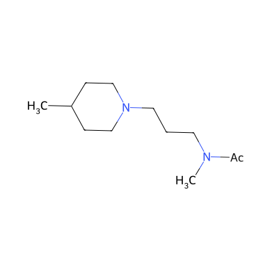 CC(=O)N(C)CCCN1CCC(C)CC1